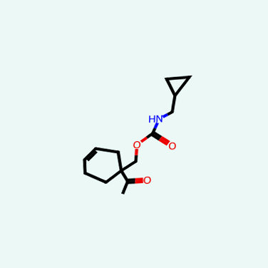 CC(=O)C1(COC(=O)NCC2CC2)CC=CCC1